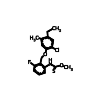 CCc1cc(Cl)c(OCc2c(F)cccc2NC(=S)OC)cc1C